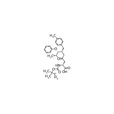 Cc1ccc(C[C@@H](CCC[C@H](NC(=O)OC(C)(C)C)C(=O)O)[C@@H](Oc2ccccc2)[C@H](C)O)cc1